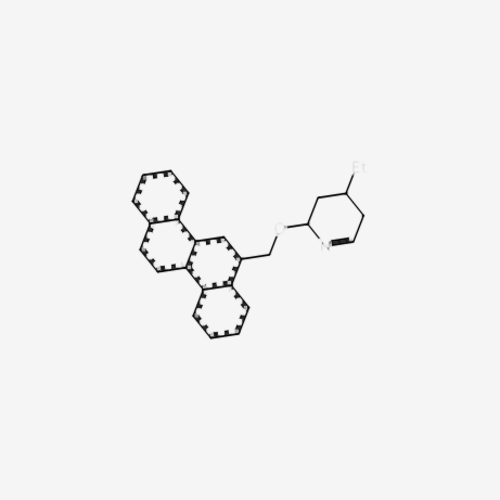 CCC1CC=NC(OCc2cc3c4ccccc4ccc3c3ccccc23)C1